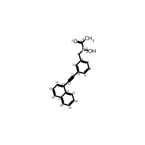 CC(=O)N(O)Cc1cccc(C#Cc2cccc3ccccc23)c1